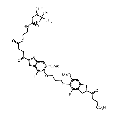 CCCC(C)(CCC)N(C=O)CC(=O)NCCOC(=O)CCC(=O)c1cc2c(F)c(OCCCOc3c(OC)cc4c(c3F)CN(C(=O)CCC(=O)O)C4)c(OC)cc2s1